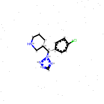 Clc1ccc([C@@H]([C@H]2CCCNC2)n2ncnn2)cc1